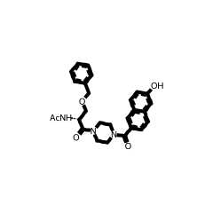 CC(=O)N[C@H](COCc1ccccc1)C(=O)N1CCN(C(=O)c2ccc3cc(O)ccc3c2)CC1